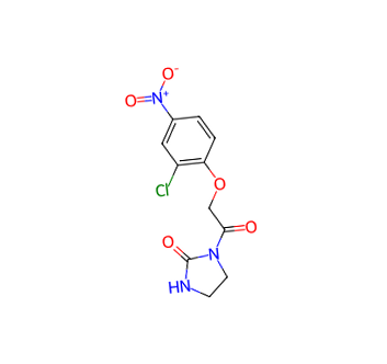 O=C(COc1ccc([N+](=O)[O-])cc1Cl)N1CCNC1=O